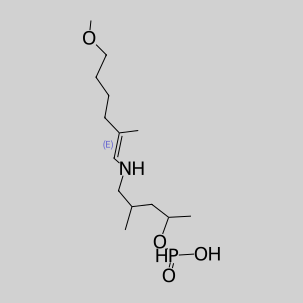 COCCCC/C(C)=C/NCC(C)CC(C)O[PH](=O)O